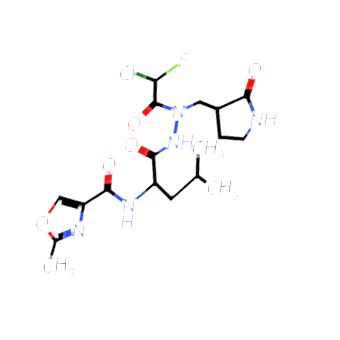 Cc1nc(C(=O)NC(CC(C)C)C(=O)NN(CC2CCNC2=O)C(=O)C(F)Cl)co1